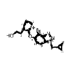 OCCc1cccnc1Oc1ccc2c(nnn2CC2CC2)c1Br